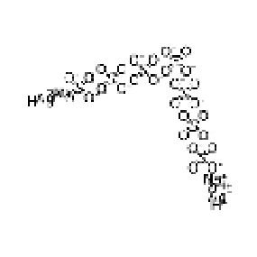 O=S(=O)([O-])[O-].O=S(=O)([O-])[O-].O=S(=O)([O-])[O-].O=S(=O)([O-])[O-].O=S(=O)([O-])[O-].O=S(=O)([O-])[O-].O=S(=O)([O-])[O-].[Ag+].[Ag+].[H+].[H+].[Na+].[Na+].[Zr+4].[Zr+4]